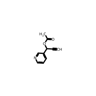 C#CC(OC(C)=O)c1cccnc1